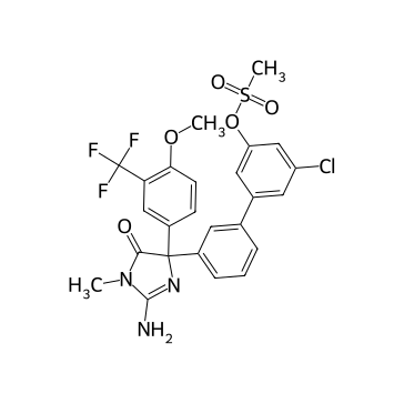 COc1ccc(C2(c3cccc(-c4cc(Cl)cc(OS(C)(=O)=O)c4)c3)N=C(N)N(C)C2=O)cc1C(F)(F)F